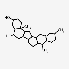 CC1CCC2C(C)C3CCC4C(CC5C4CC(O)C4CC(O)CCC45C)C3CN2C1